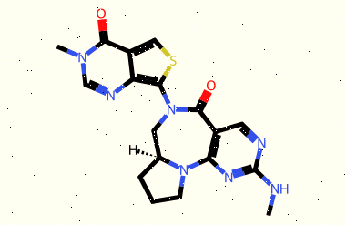 CNc1ncc2c(n1)N1CCC[C@H]1CN(c1scc3c(=O)n(C)cnc13)C2=O